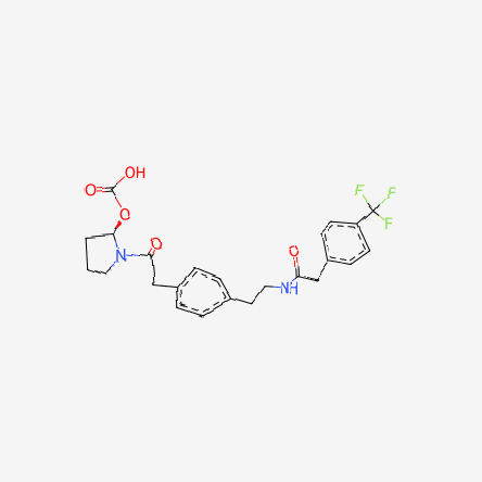 O=C(Cc1ccc(C(F)(F)F)cc1)NCCc1ccc(CC(=O)N2CCC[C@H]2OC(=O)O)cc1